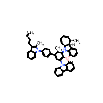 C=CCCC1=C(C)N(C2=CC=C(C3=CC4=C5B(c6cccc7c6N(C5[C@H]3C)C3C=CC=C[C@H](C)[C@@H]73)[C@H]3CC=CC5=C3N4C3C=CC=CC53)CC2)C2C=CC=CC12